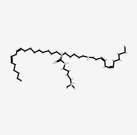 CCCCC/C=C\C/C=C\CCCCCCCCN(CCCCCCCC/C=C\C/C=C\CCCCC)C(=O)OCCCCN(C)C